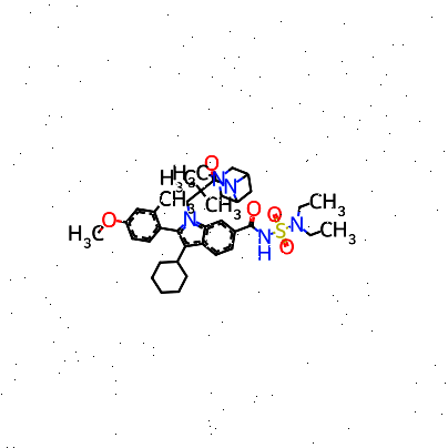 CCN(CC)S(=O)(=O)NC(=O)c1ccc2c(C3CCCCC3)c(-c3ccc(OC)cc3C)n(CC(C)(C)C(=O)N3C4CC3CN(C)C4)c2c1